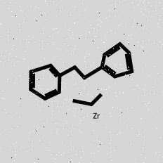 CCC.[Zr].c1ccc(CCc2ccccc2)cc1